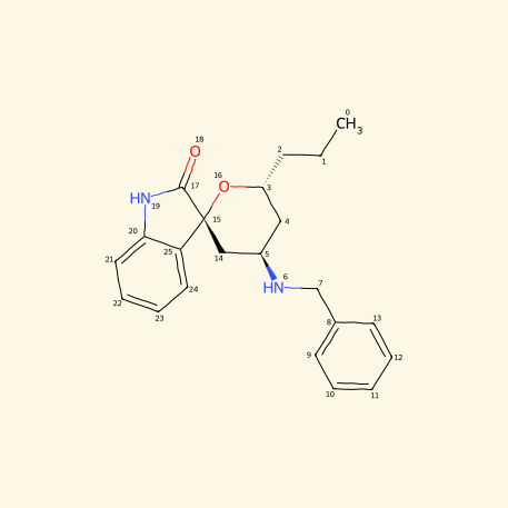 CCC[C@@H]1C[C@@H](NCc2ccccc2)C[C@]2(O1)C(=O)Nc1ccccc12